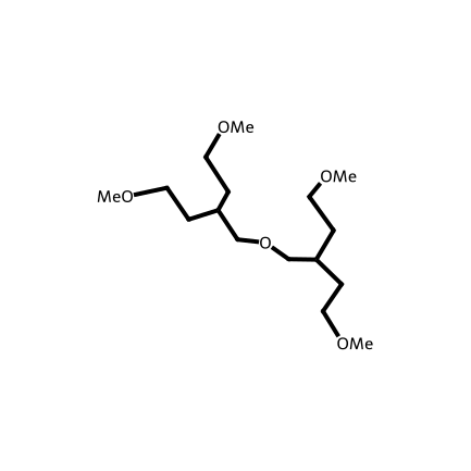 COCCC(CCOC)COCC(CCOC)CCOC